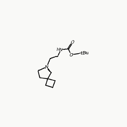 CC(C)(C)OC(=O)NCCN1CCC2(CCC2)C1